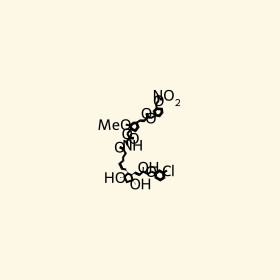 COc1cc(/C=C/C(=O)Oc2cccc(CO[N+](=O)[O-])c2)ccc1OC(=O)CNC(=O)CCC/C=C\C[C@@H]1[C@@H](/C=C/[C@@H](O)COc2cccc(Cl)c2)[C@H](O)C[C@@H]1O